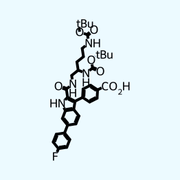 CC(C)(C)OC(=O)NCCCC(CNC(=O)c1[nH]c2cc(-c3ccc(F)cc3)ccc2c1-c1ccc(C(=O)O)cc1)NC(=O)OC(C)(C)C